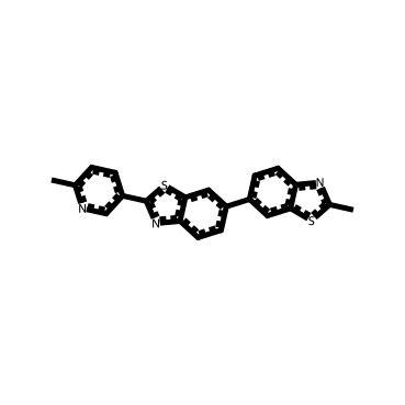 Cc1ccc(-c2nc3ccc(-c4ccc5nc(C)sc5c4)cc3s2)cn1